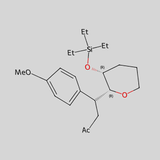 CC[Si](CC)(CC)O[C@@H]1CCCO[C@@H]1C(CC(C)=O)c1ccc(OC)cc1